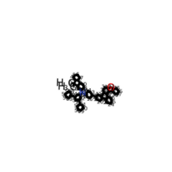 CC1(C)c2ccccc2-c2ccc(N(c3ccc(-c4ccc5c6ccccc6c6c(ccc7oc8ccccc8c76)c5c4)cc3)c3cc(-c4ccccc4)cc(-c4ccccc4)c3)cc21